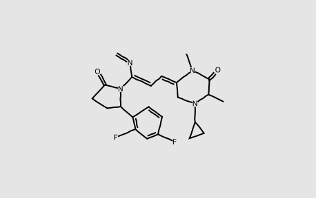 C=N/C(=C\C=C1/CN(C2CC2)C(C)C(=O)N1C)N1C(=O)CCC1c1ccc(F)cc1F